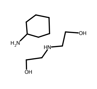 NC1CCCCC1.OCCNCCO